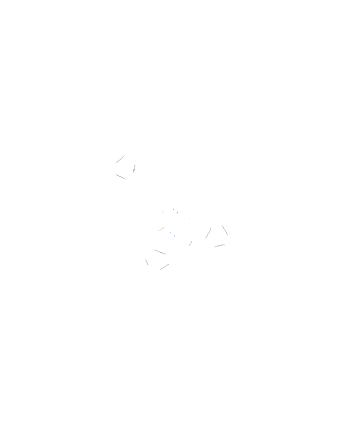 N[C@@H](CCOCc1ccccc1)C(=O)N1CC(c2cc(F)ccc2F)=CC1c1ccccc1